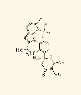 CN1C(=N)N[C@](C)(c2cccc(-n3c(N(C)C)nc4ccc(F)c(C(F)(F)F)c43)c2F)CC1=O